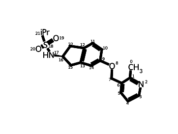 Cc1ncccc1COc1ccc2c(c1)C[C@@H](NS(=O)(=O)C(C)C)C2